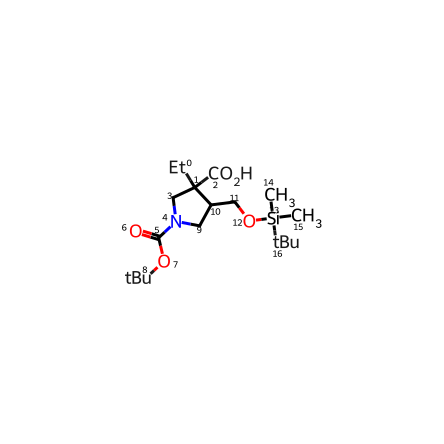 CCC1(C(=O)O)CN(C(=O)OC(C)(C)C)CC1CO[Si](C)(C)C(C)(C)C